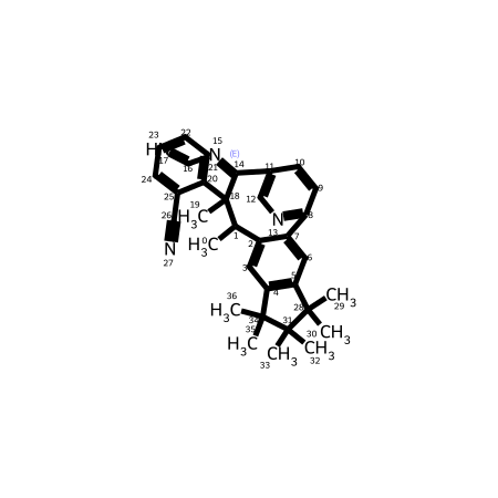 CC1c2cc3c(cc2-c2ccc(cn2)/C(=N/C=N)C1(C)c1ccccc1C#N)C(C)(C)C(C)(C)C3(C)C